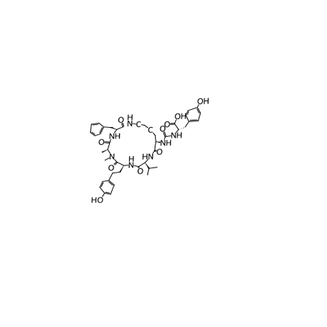 CC(C)[C@@H]1NC(=O)[C@H](NC(=O)N[C@@H](Cc2ccc(O)cc2)C(=O)O)CCCCNC(=O)[C@H](Cc2ccccc2)NC(=O)[C@H](C)N(C)C(=O)[C@H](CCc2ccc(O)cc2)NC1=O